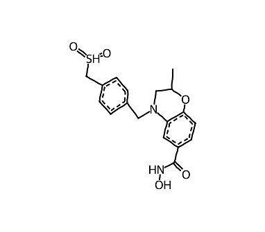 CC1CN(Cc2ccc(C[SH](=O)=O)cc2)c2cc(C(=O)NO)ccc2O1